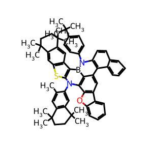 Cc1cc2c(cc1N1c3sc4cc5c(cc4c3B3c4c(cc6c(oc7ccccc76)c41)-c1c(ccc4ccccc14)N3c1ccc(C(C)(C)C)cc1)C(C)(C)CCC5(C)C)C(C)(C)CCC2(C)C